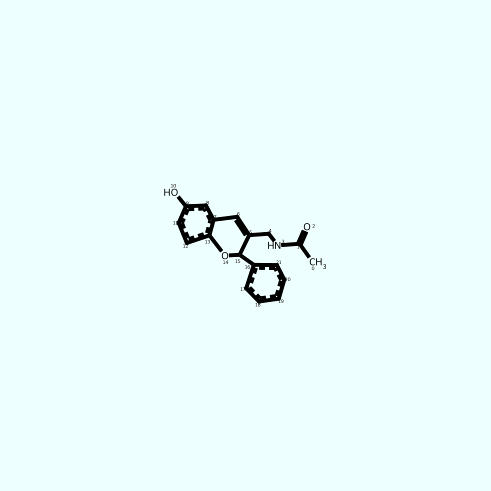 CC(=O)NCC1=Cc2cc(O)ccc2OC1c1ccccc1